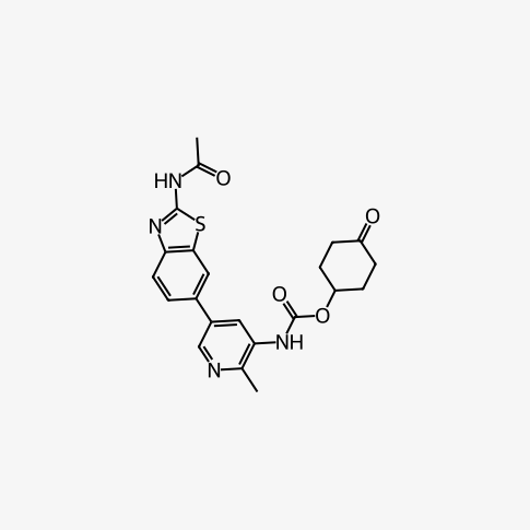 CC(=O)Nc1nc2ccc(-c3cnc(C)c(NC(=O)OC4CCC(=O)CC4)c3)cc2s1